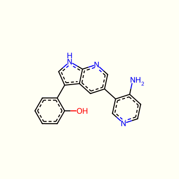 Nc1ccncc1-c1cnc2[nH]cc(-c3ccccc3O)c2c1